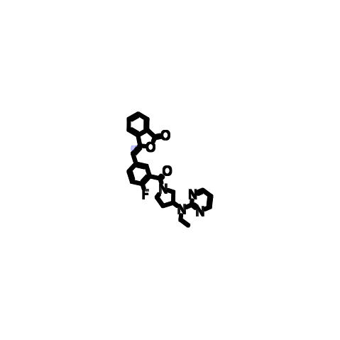 CCN(c1ncccn1)C1CCN(C(=O)c2cc(/C=C3\OC(=O)c4ccccc43)ccc2F)C1